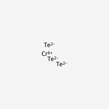 [Cr+6].[Te-2].[Te-2].[Te-2]